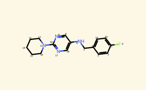 Fc1ccc(CNc2cnc(N3CCCCC3)nc2)cc1